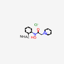 CC(=O)Nc1ccccc1N(O)C(=O)C[n+]1ccccc1.[Cl-]